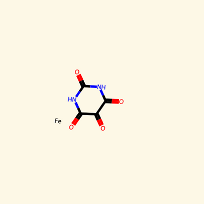 O=C1NC(=O)C(=O)C(=O)N1.[Fe]